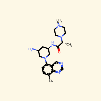 C[C@H](C(=O)N[C@@H]1C[C@H](N)CN(c2ccc(C#N)c3ncncc23)C1)N1CCN(C)CC1